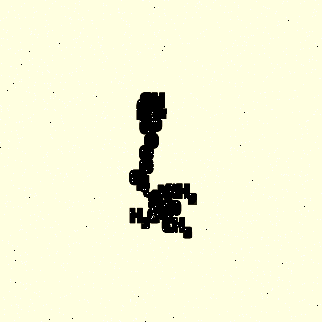 CCCN(OCC)C(=O)C1=Cc2sc(CC3CN(C(=O)CCOCCOCCOCCC(=O)Oc4c(F)c(F)c(S(=O)(=O)O)c(F)c4F)C3)cc2N=C(N)C1